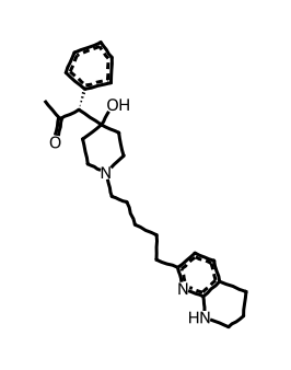 CC(=O)[C@H](c1ccccc1)C1(O)CCN(CCCCCc2ccc3c(n2)NCCC3)CC1